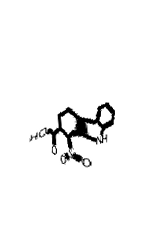 O=C(O)C1CCc2c([nH]c3ccccc23)C1=S(=O)=O